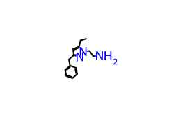 CCc1cc(Cc2ccccc2)nn1CCN